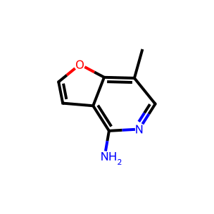 Cc1cnc(N)c2ccoc12